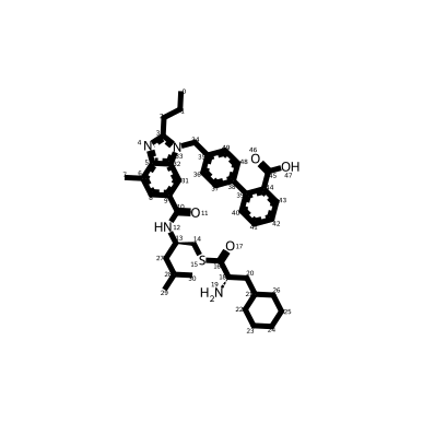 CCCc1nc2c(C)cc(C(=O)N[C@@H](CSC(=O)[C@@H](N)CC3CCCCC3)CC(C)C)cc2n1Cc1ccc(-c2ccccc2C(=O)O)cc1